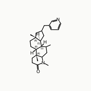 CC1CC2N(C)C(=O)CC[C@]2(C)[C@@H]2CC[C@]3(C)CC(Cc4cccnc4)C[C@H]3[C@H]12